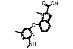 CNc1nc(C)cc(Oc2cccc3cc(C(=O)O)n(C)c23)n1